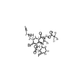 C#CCNCc1cc2c(=O)n(COC(=O)C(C)(C)C)c(C)nc2cc1Br.O=C(O)c1ccccc1F